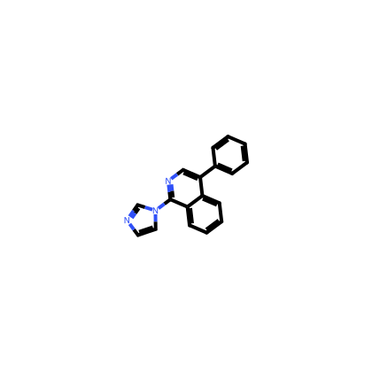 c1ccc(-c2cnc(-n3ccnc3)c3ccccc23)cc1